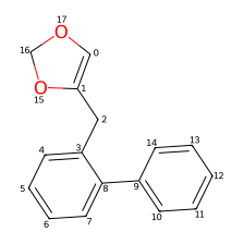 C1=C(Cc2ccccc2-c2ccccc2)OCO1